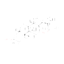 CC(C)[C@H](O)[C@@H](C)C1CC[C@H]2[C@@H]3CC[C@@H]4C[C@@](O)(C(F)(F)F)CC[C@]4(C)[C@H]3CC[C@]12C